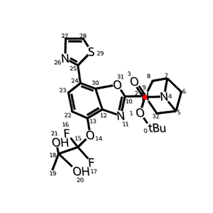 CC(C)(C)OC(=O)N1C2CC1CN(c1nc3c(OC(F)(F)C(C)(O)O)ccc(-c4nccs4)c3o1)C2